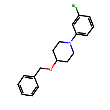 Brc1cccc(N2CCC(OCc3ccccc3)CC2)c1